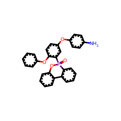 Nc1ccc(Oc2ccc(Oc3ccccc3)c(P3(=O)Oc4ccccc4-c4ccccc43)c2)cc1